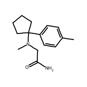 Cc1ccc(C2(N(C)CC(N)=O)CCCC2)cc1